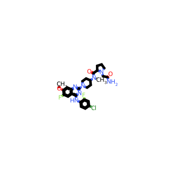 COc1cc2nc(N3CCC(N(C)C(=O)C4CCCN4CC(N)=O)CC3)nc(Nc3ccc(Cl)cc3F)c2cc1F